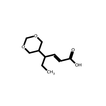 CCC(/C=C/C(=O)O)C1COCOC1